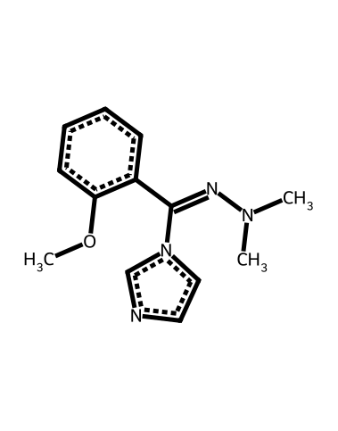 COc1ccccc1C(=NN(C)C)n1ccnc1